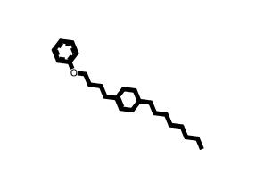 CCCCCCCCC1CC=C(CCCCOc2ccccc2)CC1